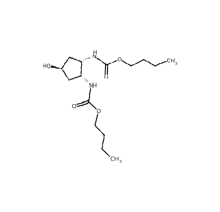 CCCCOC(=O)N[C@H]1C[C@H](O)C[C@H]1NC(=O)OCCCC